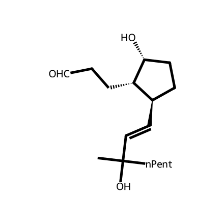 CCCCCC(C)(O)C=C[C@@H]1CC[C@@H](O)[C@H]1CCC=O